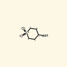 [NH]C1CCS(=O)(=O)CC1